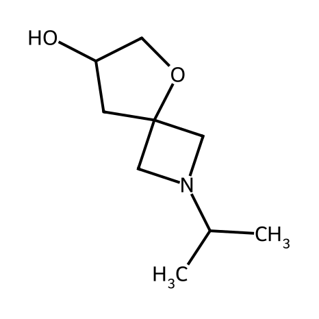 CC(C)N1CC2(CC(O)CO2)C1